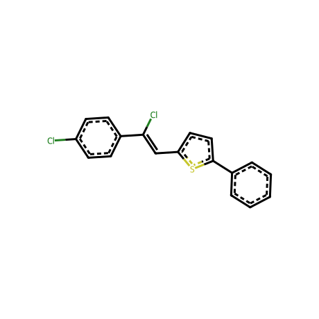 ClC(=Cc1ccc(-c2ccccc2)s1)c1ccc(Cl)cc1